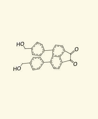 O=C1C(=O)c2ccc(-c3ccc(CO)cc3)c3c(-c4ccc(CO)cc4)ccc1c23